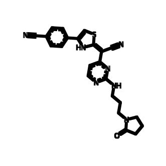 N#CC(=C1NC(c2ccc(C#N)cc2)=CS1)c1ccnc(NCCCN2CCCC2=O)n1